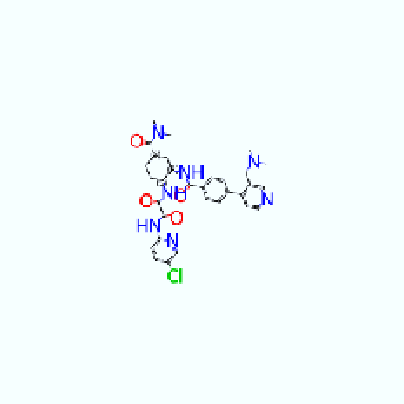 CN(C)Cc1cnccc1-c1ccc(C(=O)N[C@@H]2C[C@@H](C(=O)N(C)C)CC[C@@H]2NC(=O)C(=O)Nc2ccc(Cl)cn2)cc1